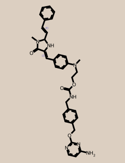 CN(CCOC(=O)NCc1ccc(COc2nccc(N)n2)cc1)c1ccc(/C=C2\NC(/C=C/c3ccccc3)N(C)C2=O)cc1